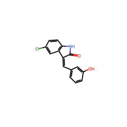 O=C1Nc2ccc(Cl)cc2/C1=C/c1cccc(O)c1